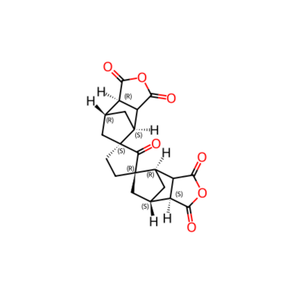 O=C1OC(=O)[C@@H]2C1[C@H]1C[C@H]2C[C@]12CC[C@@]1(C[C@H]3C[C@H]1C1C(=O)OC(=O)[C@@H]13)C2=O